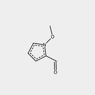 COn1cccc1[C]=O